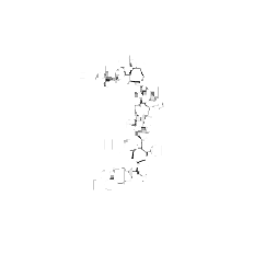 Cc1cc(C(=O)N2CCC(C)(O)CC2)cc(C)c1/C=C/S(=O)(=O)N1CCC2(CC1)N=C(c1ccc(Cl)c(OCC(F)(F)C(F)(F)F)c1)NC2=O